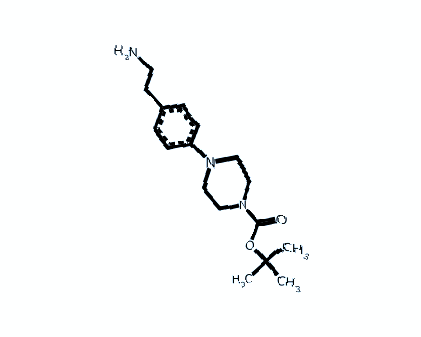 CC(C)(C)OC(=O)N1CCN(c2ccc(CCN)cc2)CC1